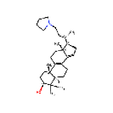 C[C@@H](CCN1CCCC1)[C@H]1CC=C2C3=C(CC[C@@]21C)[C@@]1(C)CC[C@H](O)C(C)(C)[C@@H]1CC3